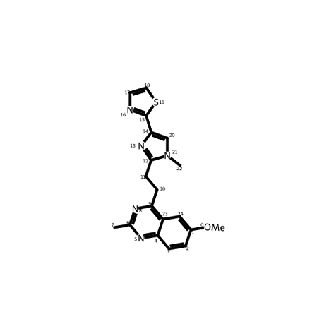 COc1ccc2nc(C)nc(CCc3nc(-c4nccs4)cn3C)c2c1